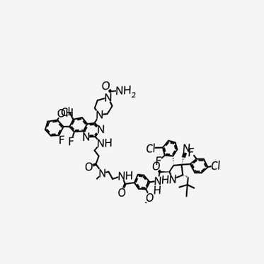 COc1cc(C(=O)NCCN(C)C(=O)CCNc2nc(N3CCN(C(N)=O)CC3)c3cc(Cl)c(-c4c(O)cccc4F)c(F)c3n2)ccc1NC(=O)[C@@H]1N[C@@H](CC(C)(C)C)[C@](C#N)(c2ccc(Cl)cc2F)[C@H]1c1cccc(Cl)c1F